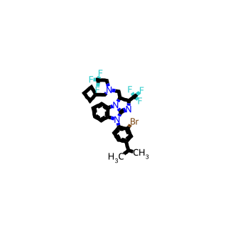 CC(C)c1ccc(N2C3=NC(C(F)(F)F)C(CN(CC4CCC4)CC(F)(F)F)N3c3ccccc32)c(Br)c1